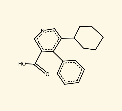 O=C(O)c1cncc(C2CCCCC2)c1-c1ccccc1